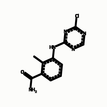 Cc1c(Nc2ncnc(Cl)n2)cccc1C(N)=O